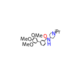 COc1cc(-c2cccc(C(=O)NC3CCN(C(C)C)CC3)c2)cc(OC)c1OC